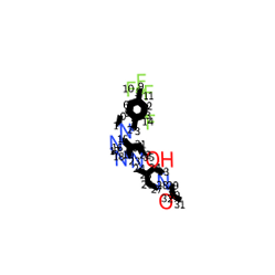 CCN(Cc1ccc(C(F)(F)F)cc1F)c1ncnc2c1ccn2CC1CCN(CC(C)=O)CC1O